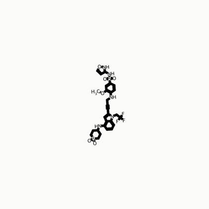 COc1cc(S(=O)(=O)NC2C=CON2)ccc1NCC#Cc1cc2c(NC3CCS(=O)(=O)CC3)cccc2n1CC(F)(F)F